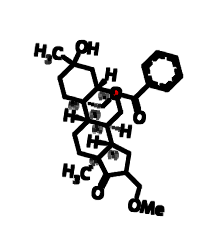 COCC1C[C@H]2[C@@H]3CC[C@H]4CC(C)(O)CC[C@]4(COC(=O)c4ccccc4)[C@H]3CC[C@]2(C)C1=O